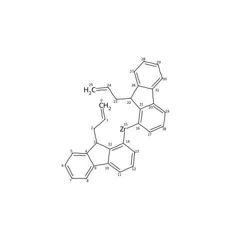 C=CCC1c2ccccc2-c2ccc[c]([Zr][c]3cccc4c3C(CC=C)c3ccccc3-4)c21